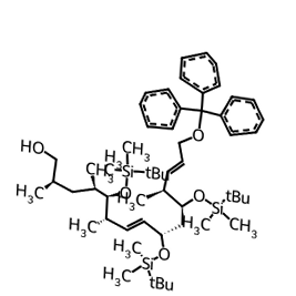 C[C@@H](CO)C[C@@H](C)[C@@H](O[Si](C)(C)C(C)(C)C)[C@@H](C)C=C[C@H](C[C@H](O[Si](C)(C)C(C)(C)C)[C@@H](C)C=CCOC(c1ccccc1)(c1ccccc1)c1ccccc1)O[Si](C)(C)C(C)(C)C